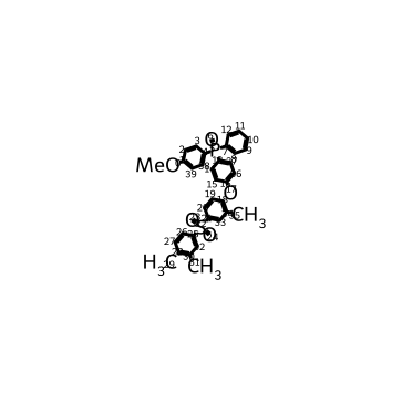 COc1ccc(P(=O)(c2ccccc2)c2ccc(Oc3ccc(S(=O)(=O)c4ccc(C)c(C)c4)cc3C)cc2)cc1